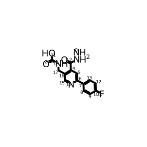 NNC(=O)c1cc(-c2ccc(F)cc2)ncc1CNC(=O)O